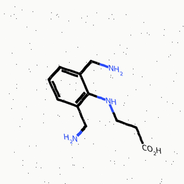 NCc1cccc(CN)c1NCCC(=O)O